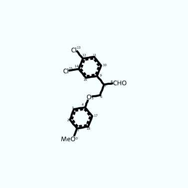 COc1ccc(OCC(C=O)c2ccc(Cl)c(Cl)c2)cc1